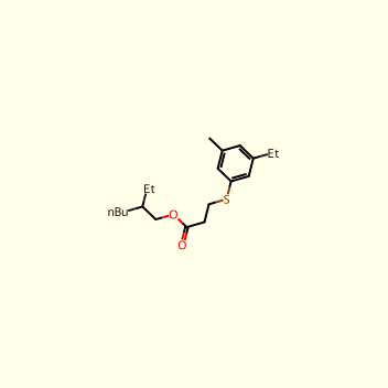 CCCCC(CC)COC(=O)CCSc1cc(C)cc(CC)c1